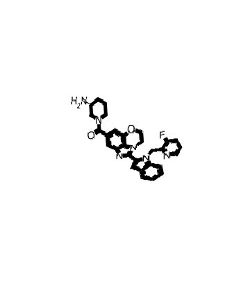 N[C@@H]1CCCN(C(=O)c2cc3c4c(c2)nc(-c2cc5ccccc5n2Cc2ncccc2F)n4CCO3)C1